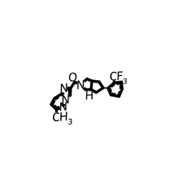 Cc1ccc2nc(C(=O)N3CC4C[C@@H](c5ccccc5C(F)(F)F)C[C@H]4C3)cn2n1